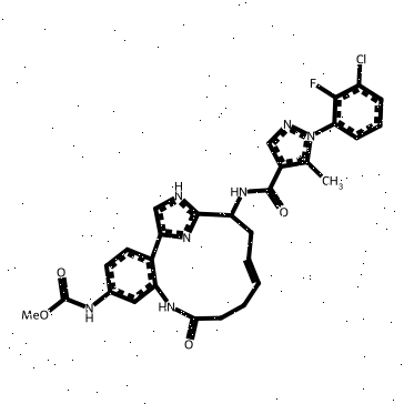 COC(=O)Nc1ccc2c(c1)NC(=O)CC/C=C/CC(NC(=O)c1cnn(-c3cccc(Cl)c3F)c1C)c1nc-2c[nH]1